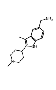 Cc1c(C2CCN(C)CC2)[nH]c2ccc(CN)cc12